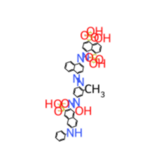 Cc1cc(N=Nc2c(S(=O)(=O)O)cc3cc(Nc4ccccc4)ccc3c2O)ccc1N=Nc1ccc(N=Nc2ccc(S(=O)(=O)O)c3c(O)ccc(S(=O)(=O)O)c23)c2ccccc12